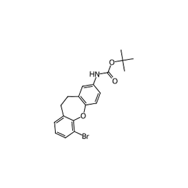 CC(C)(C)OC(=O)Nc1ccc2c(c1)CCc1cccc(Br)c1O2